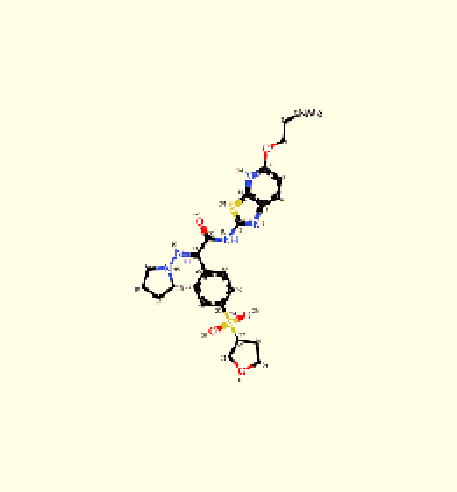 CNCCOc1ccc2nc(NC(=O)/C(=N/N3CCCC3)c3ccc(S(=O)(=O)[C@H]4CCOC4)cc3)sc2n1